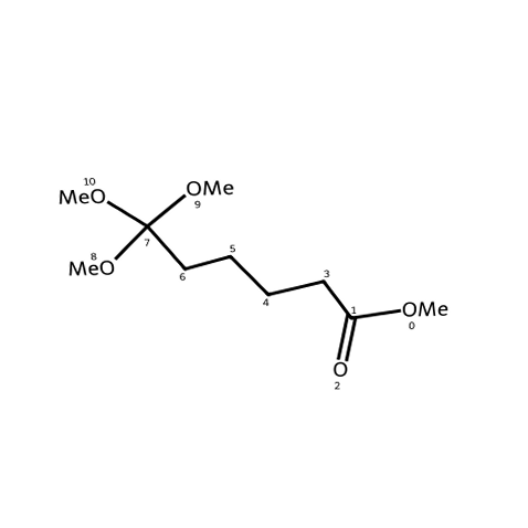 COC(=O)CCCCC(OC)(OC)OC